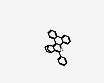 c1ccc(-c2nc3c4ccccc4c4ccccc4c3c3c2C2CCC3C2)cc1